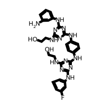 Nc1cccc(Nc2nc(NCCO)nc(Nc3ccc(Nc4nc(NCCO)nc(Nc5cccc(F)c5)n4)cc3)n2)c1